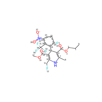 CCCOC(=O)C1=C(C)NC(CF)=C(C(=O)OC)C1c1c(F)ccc([N+](=O)[O-])c1C(F)(F)F